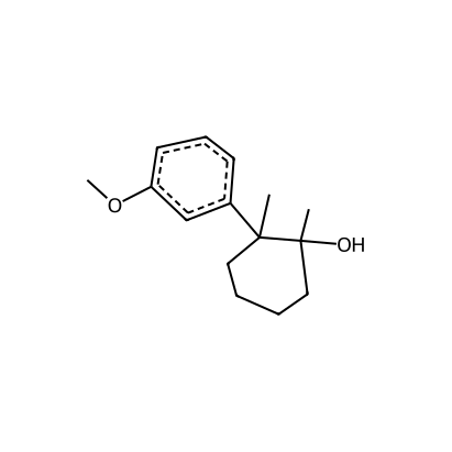 COc1cccc(C2(C)CCCCC2(C)O)c1